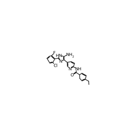 CCC1=CCC(C(=O)Nc2ccc(-c3nc(-c4c(F)cccc4Cl)[nH]c3N)cn2)C=C1